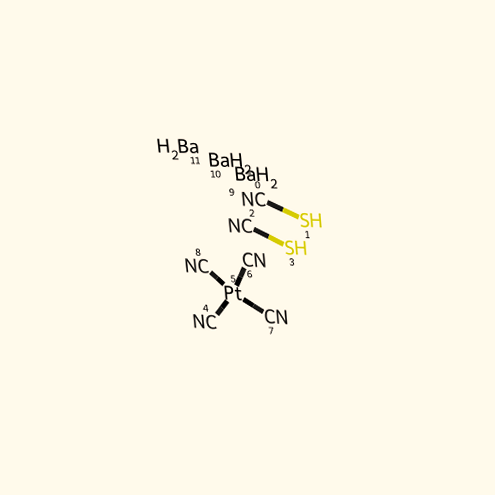 N#CS.N#CS.N#[C][Pt]([C]#N)([C]#N)[C]#N.[BaH2].[BaH2].[BaH2]